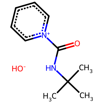 CC(C)(C)NC(=O)[n+]1ccccc1.[OH-]